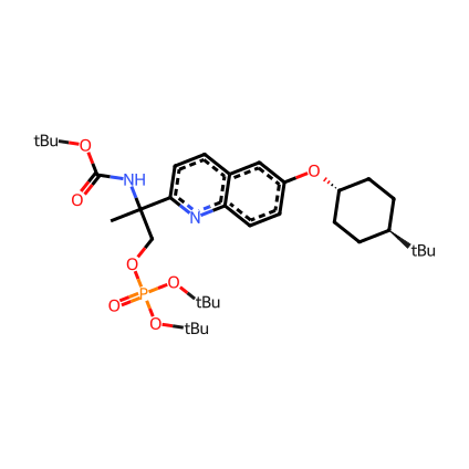 CC(C)(C)OC(=O)NC(C)(COP(=O)(OC(C)(C)C)OC(C)(C)C)c1ccc2cc(O[C@H]3CC[C@H](C(C)(C)C)CC3)ccc2n1